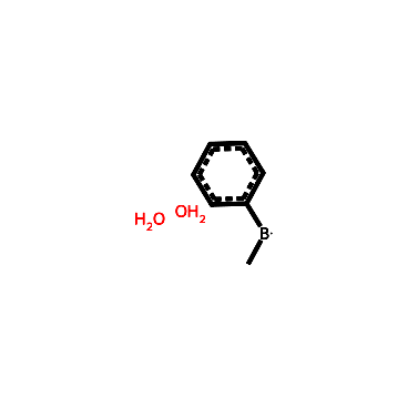 C[B]c1ccccc1.O.O